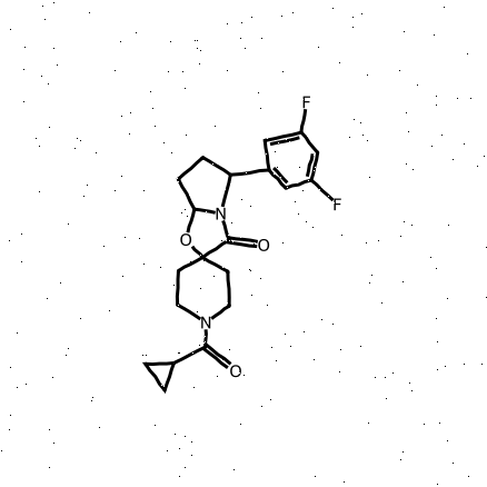 O=C(C1CC1)N1CCC2(CC1)OC1CCC(c3cc(F)cc(F)c3)N1C2=O